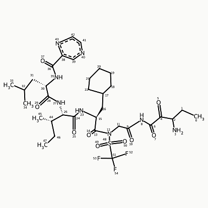 CCC(N)C(=O)C(=O)NC(=O)CN(C(=O)[C@H](CC1CCCCC1)NC(=O)[C@@H](NC(=O)[C@H](CC(C)C)NC(=O)c1cnccn1)[C@@H](C)CC)S(=O)(=O)C(F)(F)F